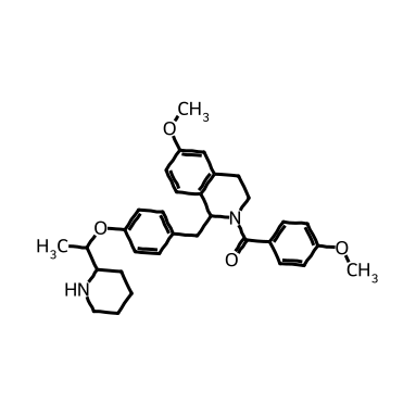 COc1ccc(C(=O)N2CCc3cc(OC)ccc3C2Cc2ccc(OC(C)C3CCCCN3)cc2)cc1